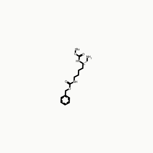 CC(C)(C)OC(=O)N[C@H](CN)CCCCNC(=O)OCc1ccccc1